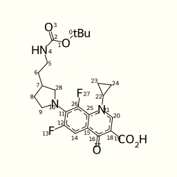 CC(C)(C)OC(=O)NCCC1CCN(c2c(F)cc3c(=O)c(C(=O)O)cn(C4CC4)c3c2F)C1